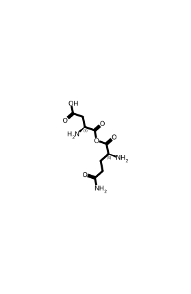 NC(=O)CC[C@H](N)C(=O)OC(=O)[C@@H](N)CC(=O)O